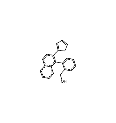 OCc1ccccc1-c1c(C2=CC=CC2)ccc2ccccc12